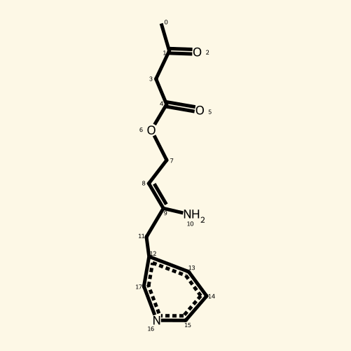 CC(=O)CC(=O)OCC=C(N)Cc1cccnc1